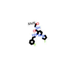 CNC(=O)CNC(=O)c1ccc(N2CC[C@H](F)C2)nc1NCCc1cccc(F)c1